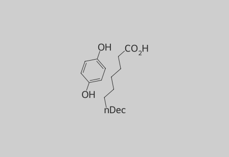 CCCCCCCCCCCCCCCC(=O)O.Oc1ccc(O)cc1